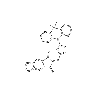 CC1(C)c2ccccc2N(c2ccc(C=C3C(=O)c4cc5cscc5cc4C3=O)s2)c2ncccc21